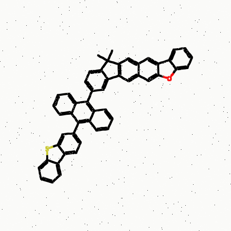 CC1(C)c2ccc(-c3c4ccccc4c(-c4ccc5c(c4)sc4ccccc45)c4ccccc34)cc2-c2cc3cc4oc5ccccc5c4cc3cc21